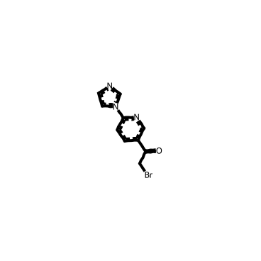 O=C(CBr)c1ccc(-n2ccnc2)nc1